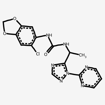 CC(NC(=O)Nc1cc2c(cc1Cl)OCO2)c1ncnn1-c1ncccn1